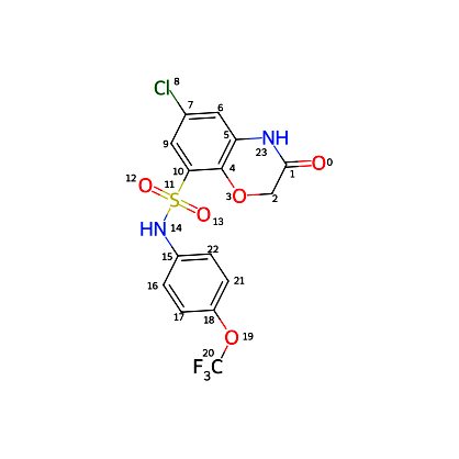 O=C1COc2c(cc(Cl)cc2S(=O)(=O)Nc2ccc(OC(F)(F)F)cc2)N1